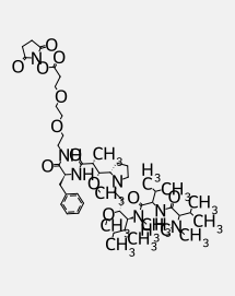 CC[C@@H](C)[C@@H]([C@@H](CCN1CCC[C@H]1[C@H](OC)[C@@H](C)C(=O)N[C@@H](Cc1ccccc1)C(=O)NCCOCCOCCC(=O)ON1C(=O)CCC1=O)OC)N(C)C(=O)C(NC(=O)C(C(C)C)N(C)C)C(C)C